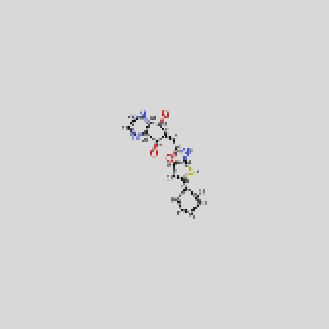 O=C1C(=Cc2nc3sc(-c4ccccc4)cc3o2)C(=O)c2nccnc21